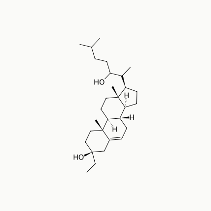 CC[C@]1(O)CC[C@@]2(C)C(=CC[C@H]3[C@@H]4CC[C@H](C(C)C(O)CCC(C)C)[C@@]4(C)CC[C@@H]32)C1